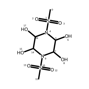 CS(=O)(=O)N1C(O)C(O)N(S(C)(=O)=O)C(O)C1O